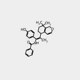 C/C(=C(\NC(=O)c1ccccc1)c1ccc(O)cc1)C1CCC(C)(C)C2=C1C=COC2